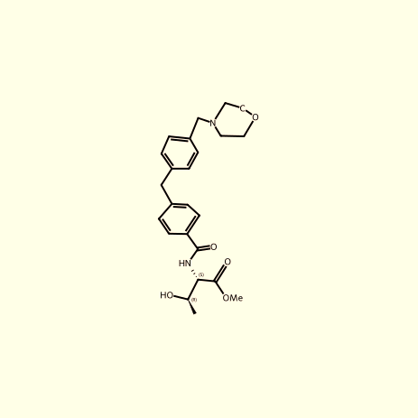 COC(=O)[C@@H](NC(=O)c1ccc(Cc2ccc(CN3CCOCC3)cc2)cc1)[C@@H](C)O